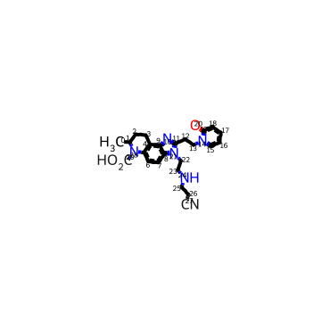 CC1CCc2c(ccc3c2nc(CCn2ccccc2=O)n3CCNCCC#N)N1C(=O)O